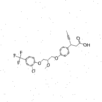 CC#CC(CC(=O)O)c1ccc(OCC(COc2ccc(C(F)(F)F)cc2Cl)OC)cc1